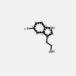 [NH]CCc1c[nH]c2ccc(F)cc12